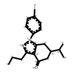 CCCc1nn(-c2ccc(I)cc2)c2c1C(=O)CC(C(C)C)C2